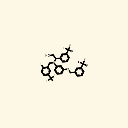 OCC(c1cccc(C(F)(F)F)c1)N(Cc1cc(C(F)(F)F)ccc1F)c1cccc(OCc2cccc(C(F)(F)F)c2)c1